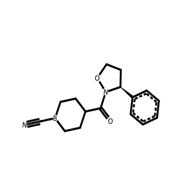 N#CB1CCC(C(=O)N2OCC[C@H]2c2ccccc2)CC1